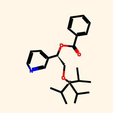 CC(C)[Si](OC[C@@H](OC(=O)c1ccccc1)c1cccnc1)(C(C)C)C(C)C